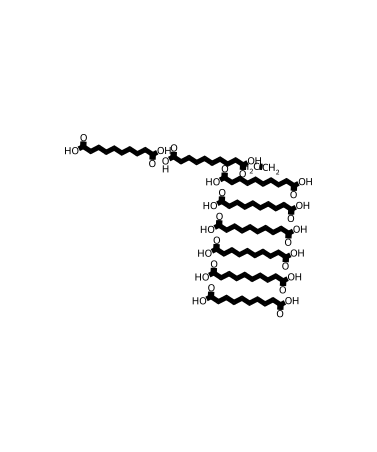 C=C.O=C(O)CCCCCCCCC(=O)O.O=C(O)CCCCCCCCC(=O)O.O=C(O)CCCCCCCCC(=O)O.O=C(O)CCCCCCCCC(=O)O.O=C(O)CCCCCCCCC(=O)O.O=C(O)CCCCCCCCC(=O)O.O=C(O)CCCCCCCCC(=O)O.O=C(O)CCCCCCCCC(=O)O